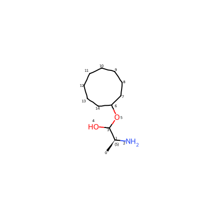 C[C@H](N)C(O)OC1CCCCCCCC1